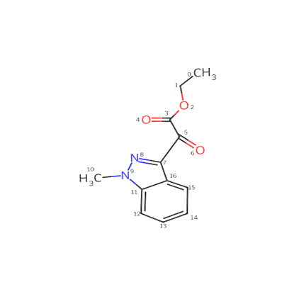 CCOC(=O)C(=O)c1nn(C)c2ccccc12